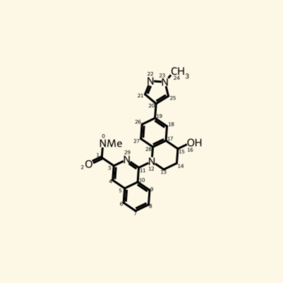 CNC(=O)c1cc2ccccc2c(N2CCC(O)c3cc(-c4cnn(C)c4)ccc32)n1